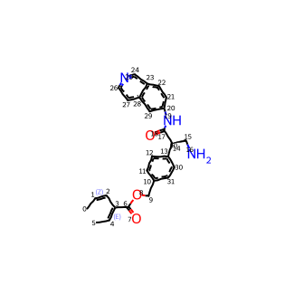 C/C=C\C(=C/C)C(=O)OCc1ccc([C@H](CN)C(=O)Nc2ccc3cnccc3c2)cc1